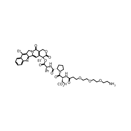 CCc1c2c(nc3ccccc13)-c1cc3c(c(=O)n1C2)COC(=O)[C@@]3(CC)OC(=O)[C@@H](NC(=O)[C@@H]1CCCN1C(=O)[C@H](CC(=O)O)NC(=O)CCOCCOCCOCCN)C(C)C